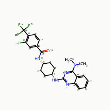 CN(C)c1nc(N[C@H]2CC[C@@H](NC(=O)c3ccc(C(F)(F)F)c(F)c3)CC2)nc2ccccc12